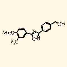 COc1ccc(-c2nc(-c3ccc(CO)cc3)no2)cc1C(F)(F)F